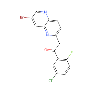 O=C(Cc1ccc2ncc(Br)cc2n1)c1cc(Cl)ccc1F